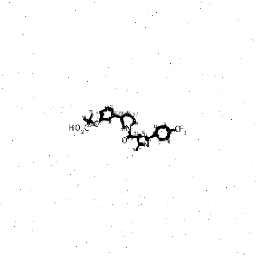 Cc1nc(-c2ccc(C(F)(F)F)cc2)sc1C(=O)N1CCCC(c2cccc(OC(C)(C)C(=O)O)c2)C1